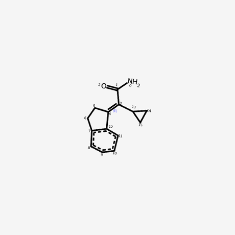 NC(=O)/C(=C1\CCc2ccccc21)C1CC1